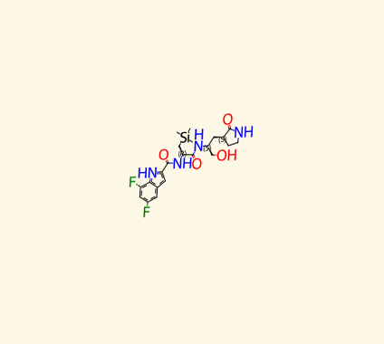 C[Si](C)(C)C[C@H](NC(=O)c1cc2cc(F)cc(F)c2[nH]1)C(=O)N[C@H](CO)C[C@@H]1CCNC1=O